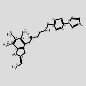 C/C=C1/Cc2c(CNCCNCc3ccc(-n4ccnc4)cc3)c(N)c(C)c(C)c2O1